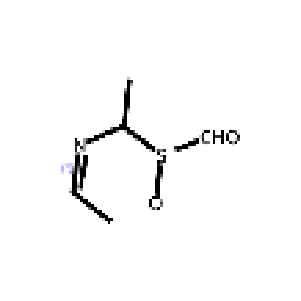 C/C=N\C(C)[S+]([O-])C=O